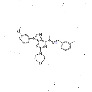 COc1cc(-n2cnc3c(N/N=C/c4cccc(C)c4)nc(N4CCOCC4)nc32)ccn1